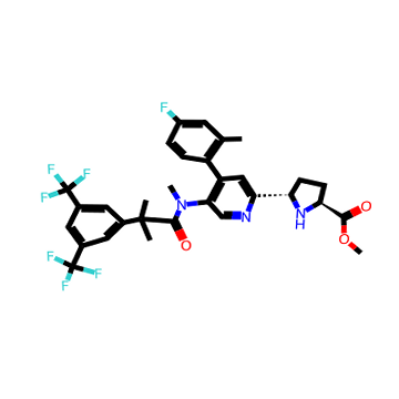 COC(=O)[C@@H]1CC[C@@H](c2cc(-c3ccc(F)cc3C)c(N(C)C(=O)C(C)(C)c3cc(C(F)(F)F)cc(C(F)(F)F)c3)cn2)N1